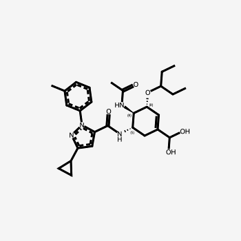 CCC(CC)O[C@@H]1C=C(C(O)O)C[C@H](NC(=O)c2cc(C3CC3)nn2-c2cccc(C)c2)[C@H]1NC(C)=O